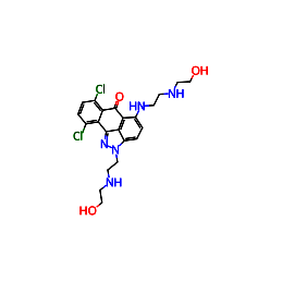 O=C1c2c(Cl)ccc(Cl)c2-c2nn(CCNCCO)c3ccc(NCCNCCO)c1c23